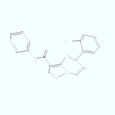 O=C(Nc1cccnc1)c1cnn2ccc(-c3ccccc3C(F)(F)F)nc12